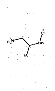 CCNC(CC)CN